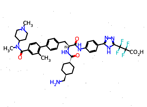 Cc1cc(C(=O)N(C)C2CCN(C)CC2)ccc1-c1ccc(C[C@H](NC(=O)[C@H]2CC[C@H](CN)CC2)C(=O)Nc2ccc(-c3nnc(C(F)(F)C(F)(F)C(=O)O)[nH]3)cc2)cc1